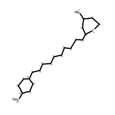 CCCCC1CCCC(CCCCCCCCCCC2CCC(C=O)CC2)C1